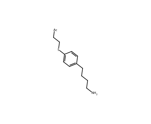 CC(=O)CCSc1ccc(CCCCN)cc1